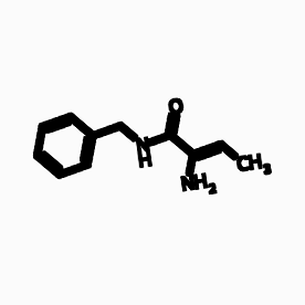 CC=C(N)C(=O)NCc1ccccc1